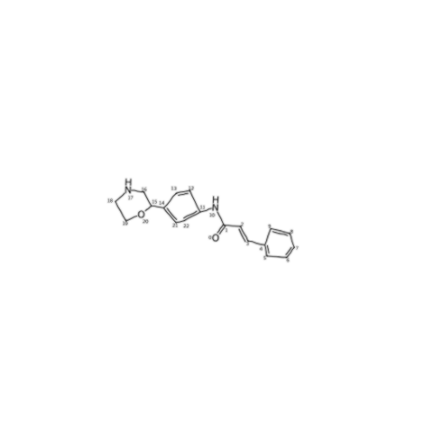 O=C(C=Cc1ccccc1)Nc1ccc(C2CNCCO2)cc1